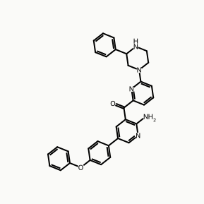 Nc1ncc(-c2ccc(Oc3ccccc3)cc2)cc1C(=O)c1cccc(N2CCNC(c3ccccc3)C2)n1